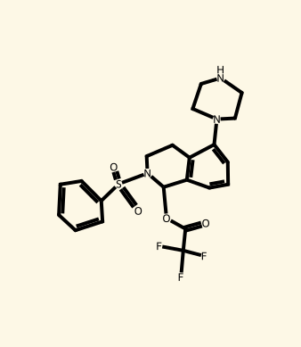 O=C(OC1c2cccc(N3CCNCC3)c2CCN1S(=O)(=O)c1ccccc1)C(F)(F)F